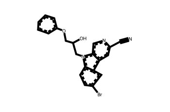 N#Cc1cc2c3cc(Br)ccc3n(CC(O)COc3ccccc3)c2cn1